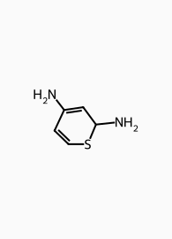 NC1=CC(N)SC=C1